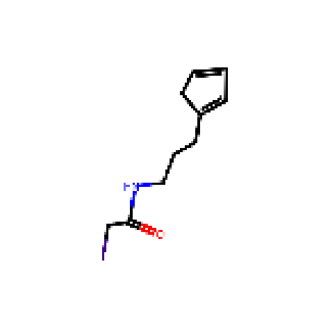 O=C(CI)NCCCC1=CC=CC1